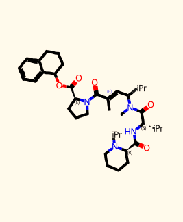 C/C(=C\C(C(C)C)N(C)C(=O)[C@@H](NC(=O)[C@H]1CCCCN1C(C)C)C(C)C)C(=O)N1CCC[C@H]1C(=O)OC1CCCc2ccccc21